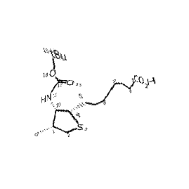 C[C@H]1CS[C@@H](CCCCC(=O)O)[C@H]1NC(=O)OC(C)(C)C